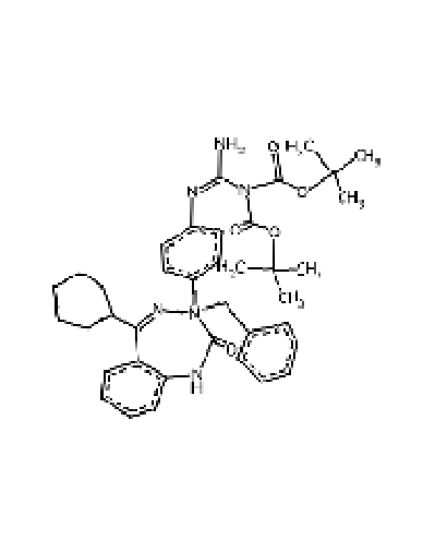 CC(C)(C)OC(=O)N(C(=O)OC(C)(C)C)C(N)=Nc1ccc([N+]2(Cc3ccccc3)N=C(C3CCCCC3)c3ccccc3NC2=O)cc1